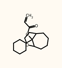 C=CC(=O)OC1(C2CCCCC2)C2CCCCC1OCC2